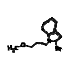 COCCCn1c(Br)cc2ccccc21